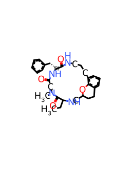 CCC1NCC2CCc3cccc(c3O2)CCCNC(=O)[C@@H](Cc2ccccc2)NC(=O)CN(C)C1=O